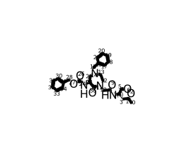 CC(=O)C[C@@H](C=O)NC(=O)CN1CCN(Cc2ccccc2)C[C@H](NC(=O)OCc2ccccc2)C1=O